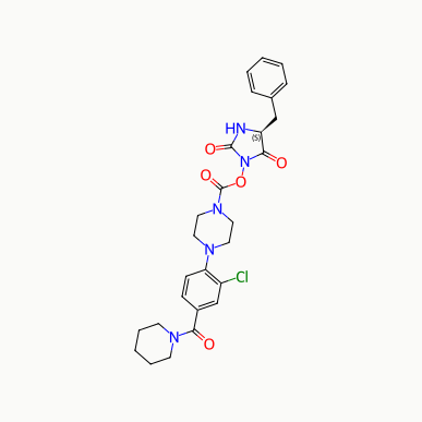 O=C(ON1C(=O)N[C@@H](Cc2ccccc2)C1=O)N1CCN(c2ccc(C(=O)N3CCCCC3)cc2Cl)CC1